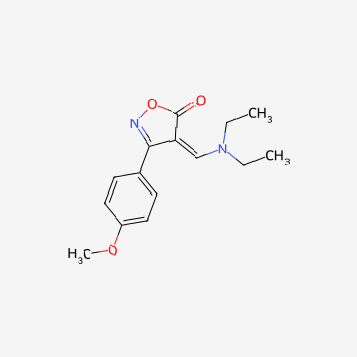 CCN(C=C1C(=O)ON=C1c1ccc(OC)cc1)CC